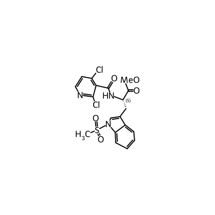 COC(=O)[C@H](Cc1cn(S(C)(=O)=O)c2ccccc12)NC(=O)c1c(Cl)ccnc1Cl